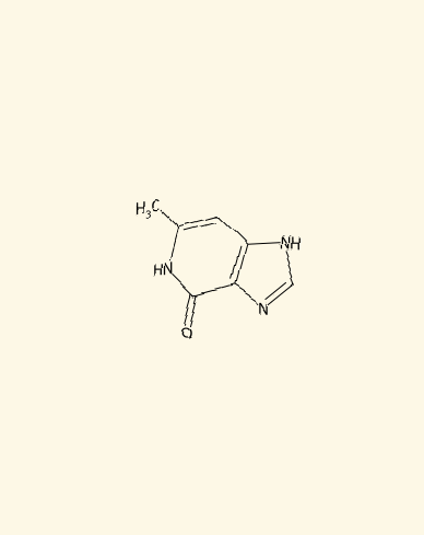 Cc1cc2[nH]cnc2c(=O)[nH]1